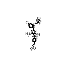 COC(=O)CCc1ccc(C2(C)C(=O)Nc3nc(-c4nn(CCC(F)(F)C(F)(F)F)c5cc(Cl)ccc45)nc(N)c32)cc1